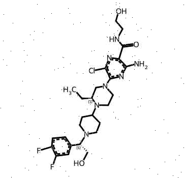 CC[C@H]1CN(c2nc(N)c(C(=O)NCCO)nc2Cl)CCN1C1CCN([C@H](CO)c2ccc(F)c(F)c2)CC1